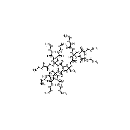 NCCNC(=O)CCC(CCC(=O)NCCN)(CCC(=O)NCCN)CC(=O)CCC(CCC(=O)NC(CCC(=O)NCCN)(CCC(=O)NCCN)CCC(=O)NCCN)(CCC(=O)NC(CCC(=O)NCCN)(CCC(=O)NCCN)CCC(=O)NCCN)[N+](=O)[O-]